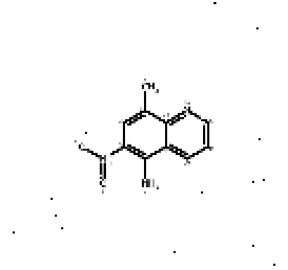 Cc1cc([N+](=O)[O-])c(N)c2cccnc12